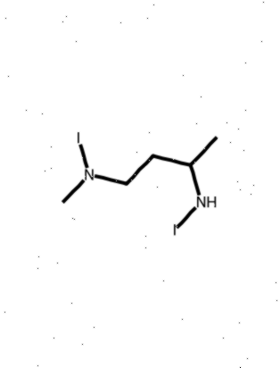 CC(CCN(C)I)NI